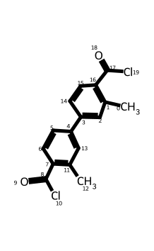 Cc1cc(-c2ccc(C(=O)Cl)c(C)c2)ccc1C(=O)Cl